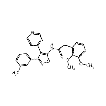 COc1cccc(CC(=O)Nc2onc(-c3cccc(C)c3)c2-c2ccncn2)c1OC